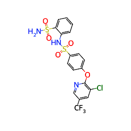 NS(=O)(=O)c1ccccc1NS(=O)(=O)c1ccc(Oc2ncc(C(F)(F)F)cc2Cl)cc1